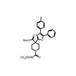 COC(=O)C1(c2nc(-c3ccc(C)cc3)c(-c3ccccc3)o2)CCN(C(=O)N(C)O)CC1